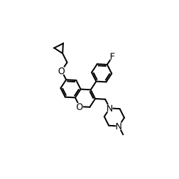 CN1CCN(CC2=C(c3ccc(F)cc3)c3cc(OCC4CC4)ccc3OC2)CC1